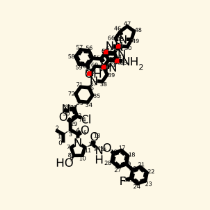 CC(C)[C@@H](C(=O)N1C[C@H](O)C[C@H]1C(=O)NOc1ccc(-c2ccccc2F)cc1)c1onc([C@H]2CC[C@H](N3CCC(c4cnc(N5C6CCC5CN(c5cc(-c7ccccc7O)nnc5N)C6)nc4)CC3)CC2)c1Cl